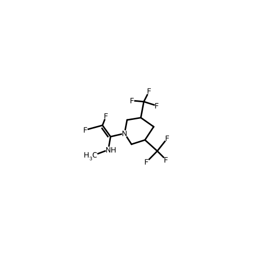 CNC(=C(F)F)N1CC(C(F)(F)F)CC(C(F)(F)F)C1